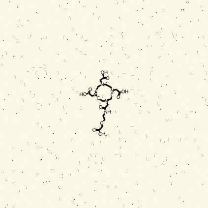 CC(=O)COCCNC(=O)CN1CCN(CC(=O)O)CCN(CC(=O)O)CCN(CC(=O)O)CC1